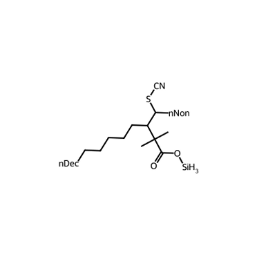 CCCCCCCCCCCCCCCC(C(CCCCCCCCC)SC#N)C(C)(C)C(=O)O[SiH3]